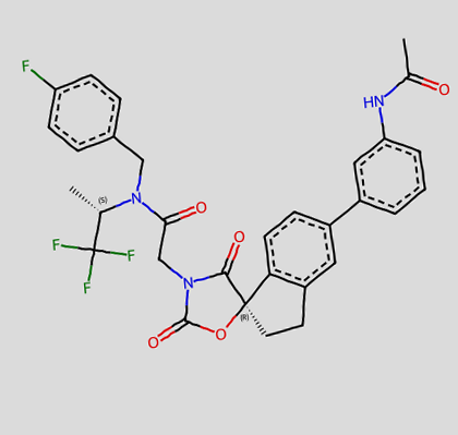 CC(=O)Nc1cccc(-c2ccc3c(c2)CC[C@@]32OC(=O)N(CC(=O)N(Cc3ccc(F)cc3)[C@@H](C)C(F)(F)F)C2=O)c1